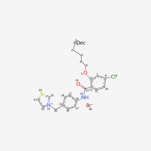 CCCCCCCCCCCCCCOc1cc(Cl)ccc1C(=O)Nc1ccc(C[n+]2ccsc2)cc1.[Br-]